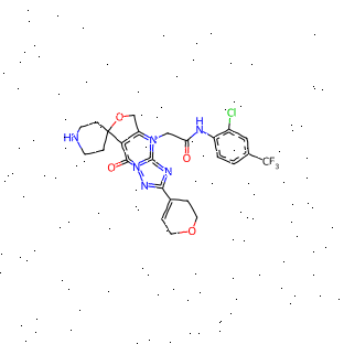 O=C(Cn1c2c(c(=O)n3nc(C4=CCOCC4)nc13)C1(CCNCC1)OC2)Nc1ccc(C(F)(F)F)cc1Cl